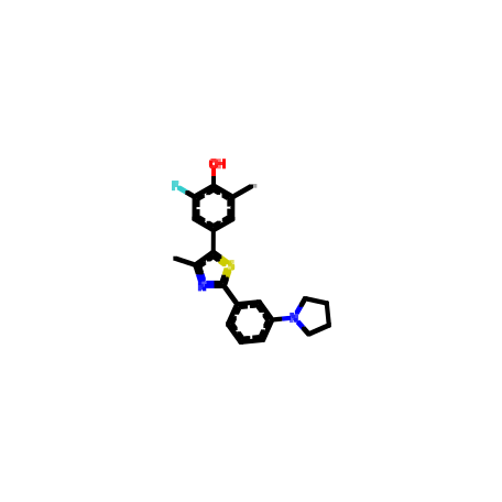 [CH2]c1cc(-c2sc(-c3cccc(N4CCCC4)c3)nc2C)cc(F)c1O